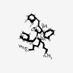 CCCCC1(CCCC)N[C@@H]([C@@](O)(CCc2ccccc2)c2ccccc2)C(=O)N1Cc1ccccc1